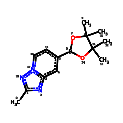 Cc1nc2cc(B3OC(C)(C)C(C)(C)O3)ccn2n1